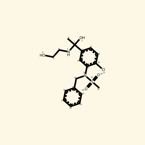 CC(O)(NCCO)c1ccc(Cl)c(N(Cc2ccccc2)S(C)(=O)=O)c1